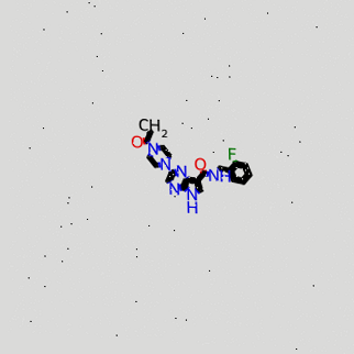 C=CC(=O)N1CCN(c2cnc3[nH]cc(C(=O)NCc4ccccc4F)c3n2)CC1